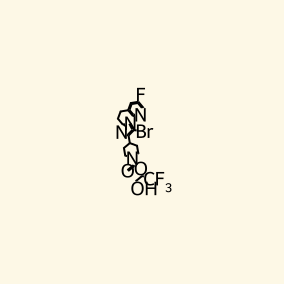 O=C(OC(CO)C(F)(F)F)N1CCC(c2nc3n(c2Br)-c2ncc(F)cc2CC3)CC1